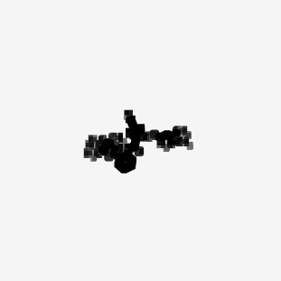 CC1(C)OB(c2ccccc2NC(=O)c2nc(C#N)cn2COCC[Si](C)(C)C)OC1(C)C